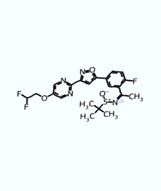 C/C(=N/[S+]([O-])C(C)(C)C)c1cc(-c2cc(-c3ncc(OCC(F)F)cn3)no2)ccc1F